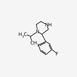 CC(C)N1CCNCC1c1cccc(F)c1